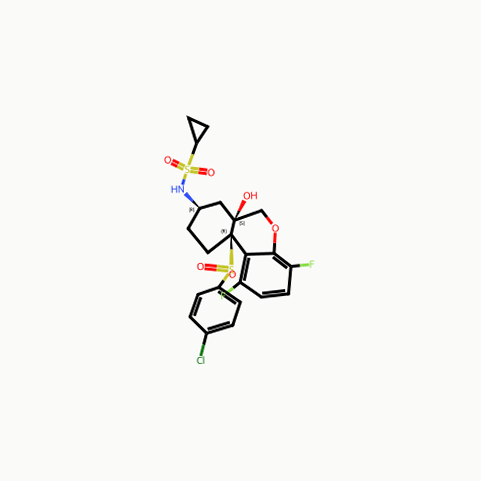 O=S(=O)(N[C@@H]1CC[C@@]2(S(=O)(=O)c3ccc(Cl)cc3)c3c(F)ccc(F)c3OC[C@@]2(O)C1)C1CC1